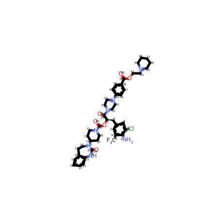 Nc1c(Cl)cc(C[C@@H](OC(=O)N2CCC(N3CCc4ccccc4NC3=O)CC2)C(=O)N2CCN(c3ccc(C(=O)OCCN4CCCCC4)cc3)CC2)cc1C(F)(F)F